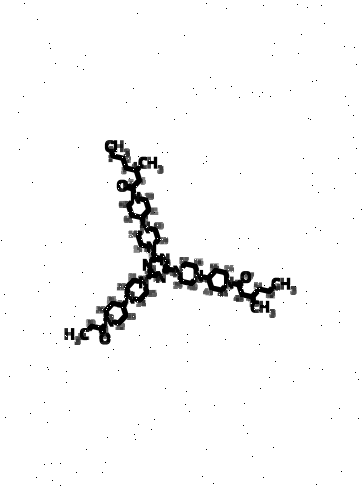 CCCCC(C)CC(=O)N1CCC(N2CCN(c3nc(N4CCN(C5CCN(C(=O)CC)CC5)CC4)nc(N4CCN(C5CCN(C(=O)CC(C)CCC)CC5)CC4)n3)CC2)CC1